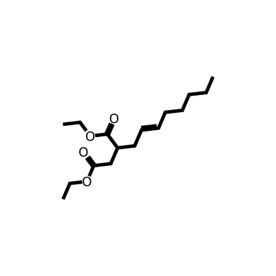 CCCCCC=CCC(CC(=O)OCC)C(=O)OCC